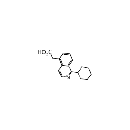 O=C(O)Cc1cccc2c(C3CCCCC3)nccc12